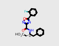 O=C(O)C[C@@H](Cc1ccccc1)NC(=O)c1noc(-c2ccccc2F)n1